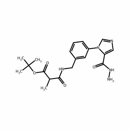 CC(C(=O)NCc1cccc(-n2cncc2C(=O)NN)c1)C(=O)OC(C)(C)C